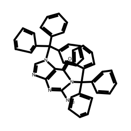 Nc1nc2ncn(C(c3ccccc3)(c3ccccc3)c3ccccc3)c2c(=O)n1C(c1ccccc1)(c1ccccc1)c1ccccc1